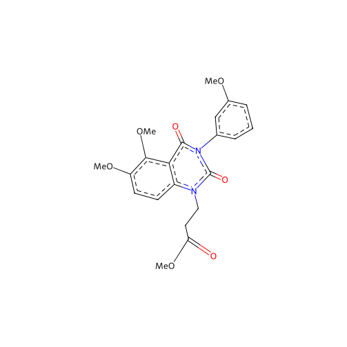 COC(=O)CCn1c(=O)n(-c2cccc(OC)c2)c(=O)c2c(OC)c(OC)ccc21